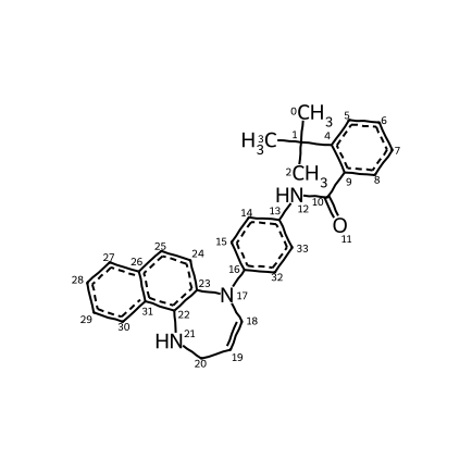 CC(C)(C)c1ccccc1C(=O)Nc1ccc(N2C=CCNc3c2ccc2ccccc32)cc1